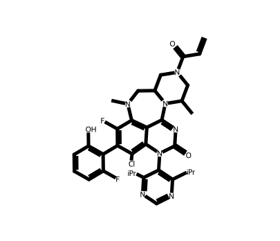 C=CC(=O)N1CC(C)N2c3nc(=O)n(-c4c(C(C)C)ncnc4C(C)C)c4c(Cl)c(-c5c(O)cccc5F)c(F)c(c34)N(C)CC2C1